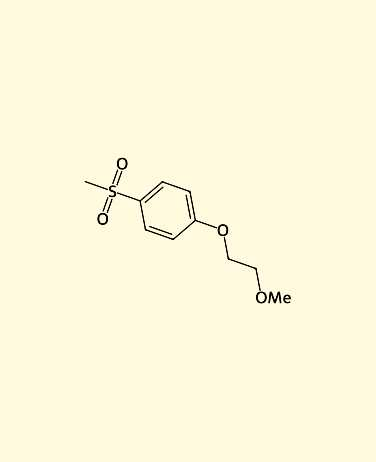 COCCOc1ccc(S(C)(=O)=O)cc1